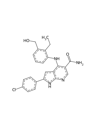 CCc1c(CO)cccc1Nc1c(C(N)=O)cnc2[nH]c(-c3ccc(Cl)cc3)cc12